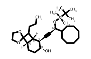 CCCC1[C@@H]2[C@@H](C#C[C@@H](O[Si](C)(C)C(C)(C)C)C3CCCCCCC3)[C@H](O)CC[C@@H]2C12OCCO2